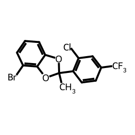 CC1(c2ccc(C(F)(F)F)cc2Cl)Oc2cccc(Br)c2O1